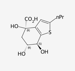 CCCc1cc2c(s1)[C@@H](O)[C@H](O)C[C@]2(O)C(=O)O